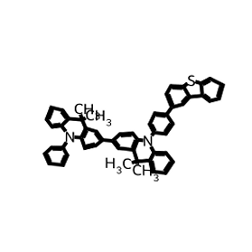 CC1(C)c2ccccc2N(c2ccccc2)c2ccc(-c3ccc4c(c3)C(C)(C)c3ccccc3N4c3ccc(-c4ccc5sc6ccccc6c5c4)cc3)cc21